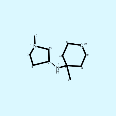 CN1CC[C@@H](NC2(C)CCOCC2)C1